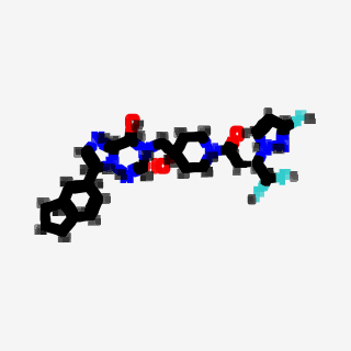 O=C(C[C@@H](C(F)F)n1ccc(F)n1)N1CCC(O)(Cn2cnn3c(-c4ccc5c(c4)C[CH]C5)cnc3c2=O)CC1